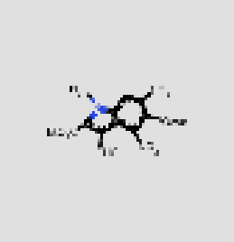 CCOC(=O)c1c(C=O)c2c([N+](=O)[O-])c(OC)c(C)cc2n1C